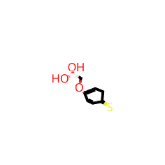 OB(O)COC1=CCC(=S)C=C1